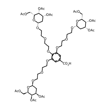 CC(=O)OC[C@H]1O[C@@H](OCCOCCOc2cc(C(=O)O)cc(OCCOCCO[C@H]3C[C@@H](OC(C)=O)[C@@H](OC(C)=O)[C@@H](COC(C)=O)O3)c2OCCOCCO[C@H]2C[C@@H](OC(C)=O)[C@@H](OC(C)=O)[C@@H](COC(C)=O)O2)C[C@@H](OC(C)=O)[C@H]1OC(C)=O